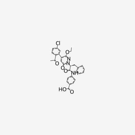 CCOc1nn([C@@H](Cc2ccccc2)C(=O)Nc2ccc(C(=O)O)cc2)c(=O)cc1-c1cc(Cl)ccc1C(C)=O